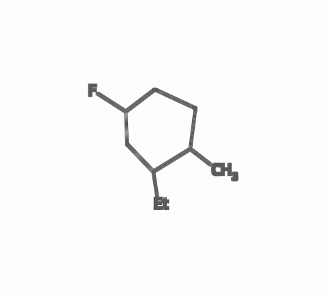 CCC1CC(F)CCC1C